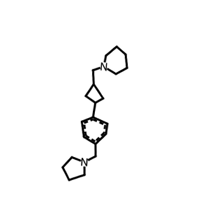 c1cc(C2CC(CN3CCCCC3)C2)ccc1CN1CCCC1